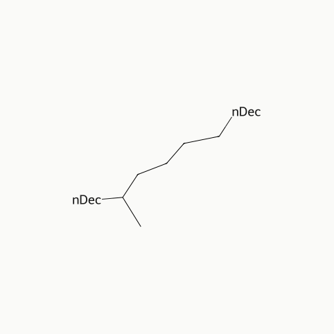 [CH2]CCCCCCCCCCCCCC(C)CCCCCCCCC[CH2]